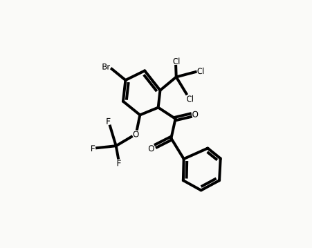 O=C(C(=O)C1C(C(Cl)(Cl)Cl)=CC(Br)=CC1OC(F)(F)F)c1ccccc1